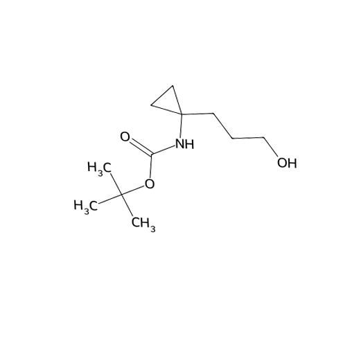 CC(C)(C)OC(=O)NC1(CCCO)CC1